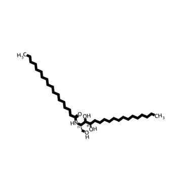 CCCCCCCCCCCCCCCCCC(=O)N[C@@H](CO)C(O)[C@H](O)CCCCCCCCCCCCCC